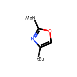 CNc1nc(C(C)(C)C)co1